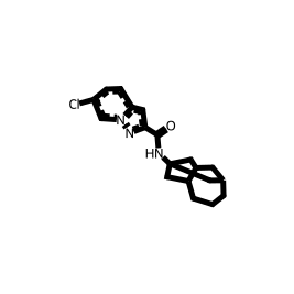 O=C(NC12CC3CCCC(C1)C(C3)C2)c1cc2ccc(Cl)cn2n1